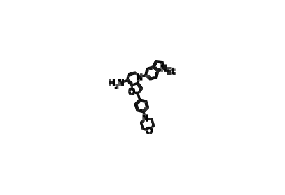 CCn1ccc2cc(N3C=CC(N)=C4OC(c5ccc(N6CCOCC6)cc5)C=C43)ccc21